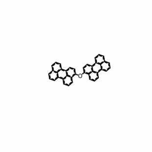 c1cc2cccc3c4ccc(Oc5ccc6c7cccc8cccc(c9cccc5c96)c87)c5cccc(c(c1)c23)c54